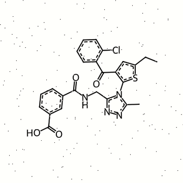 CCc1cc(C(=O)c2ccccc2Cl)c(-n2c(C)nnc2CNC(=O)c2cccc(C(=O)O)c2)s1